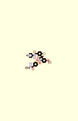 CCOc1ccc2c(c1)C(C)(c1cc(C(=O)NC3CCN(C)CC3)ccc1Cl)C(=O)N2S(=O)(=O)c1ccc(C(=O)NC(C)(C)C)cc1